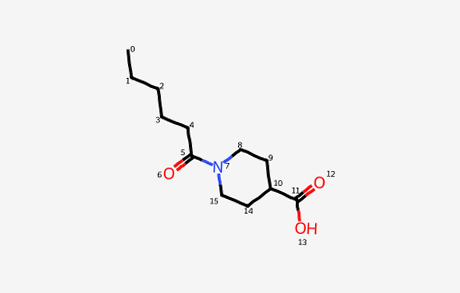 CCCCCC(=O)N1CCC(C(=O)O)CC1